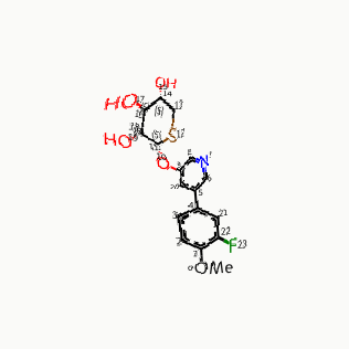 COc1ccc(-c2cncc(O[C@H]3SC[C@@H](O)[C@H](O)[C@H]3O)c2)cc1F